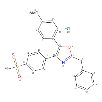 COc1ccc(-c2oc(Cc3ccccc3)nc2-c2ccc(S(C)(=O)=O)cc2)c(Cl)c1